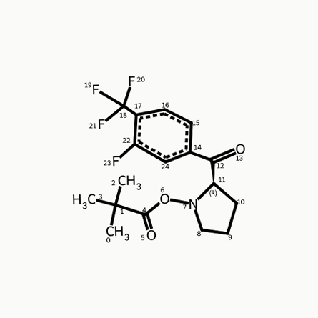 CC(C)(C)C(=O)ON1CCC[C@@H]1C(=O)c1ccc(C(F)(F)F)c(F)c1